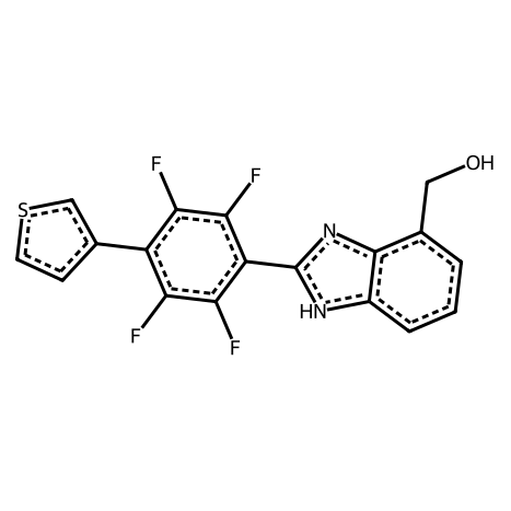 OCc1cccc2[nH]c(-c3c(F)c(F)c(-c4ccsc4)c(F)c3F)nc12